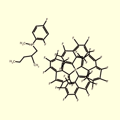 CCCC(C)C[PH+](C)c1ccc(F)cc1F.Fc1c(F)c(F)c2c([B-](c3c(F)c(F)c(F)c4c(F)c(F)c(F)c(F)c34)(c3c(F)c(F)c(F)c4c(F)c(F)c(F)c(F)c34)c3c(F)c(F)c(F)c4c(F)c(F)c(F)c(F)c34)c(F)c(F)c(F)c2c1F